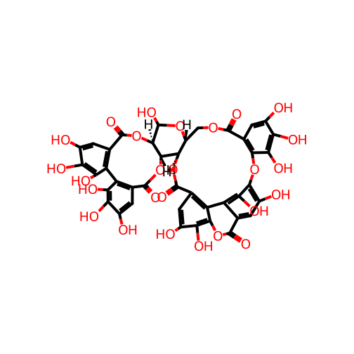 O=C1OC[C@H]2OC(O)[C@@H]3OC(=O)c4cc(O)c(O)c(O)c4-c4c(cc(O)c(O)c4O)C(=O)O[C@H]3[C@@H]2OC(=O)c2cc(O)c(O)c3oc(=O)c4cc(O)c(c(O)c4c23)Oc2c1cc(O)c(O)c2O